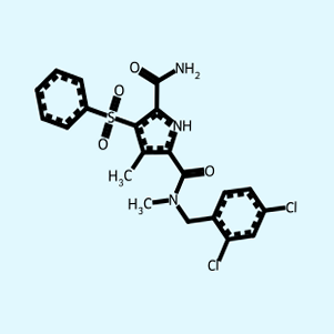 Cc1c(C(=O)N(C)Cc2ccc(Cl)cc2Cl)[nH]c(C(N)=O)c1S(=O)(=O)c1ccccc1